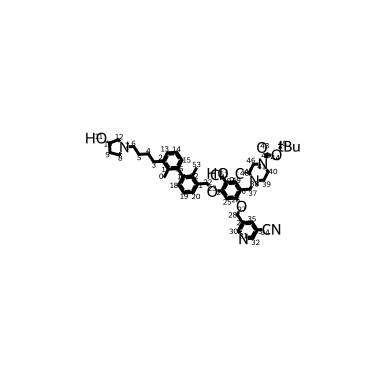 Cc1c(CCCCN2CC[C@@H](O)C2)cccc1-c1cccc(COc2cc(OCc3cncc(C#N)c3)c(CN3CCN(C(=O)OC(C)(C)C)C[C@H]3C(=O)O)cc2Cl)c1C